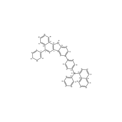 C1=CC(c2cc3c4cc(-c5ccc(N(c6ccccc6)c6cccc7ccccc67)cc5)ccc4oc3c3ccccc23)=CCC1